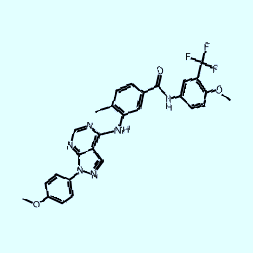 COc1ccc(-n2ncc3c(Nc4cc(C(=O)Nc5ccc(OC)c(C(F)(F)F)c5)ccc4C)ncnc32)cc1